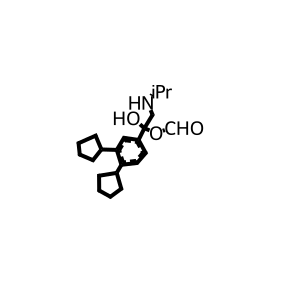 CC(C)NCC(O)(OC=O)c1ccc(C2CCCC2)c(C2CCCC2)c1